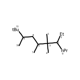 CCC[C](CC)C(C)(C)C(C)CC(C)C(C)(C)C